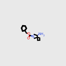 N[C@@H]1CN(C(=O)OCc2ccccc2)CC12CCC2